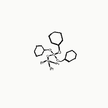 CC(C)[Si]([O][Zr]([O]C1CCCCC1)([O]C1CCCCC1)[O]C1CCCCC1)(C(C)C)C(C)C